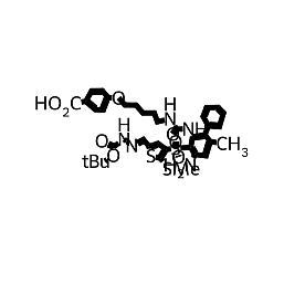 CSc1sc(C=NNC(=O)OC(C)(C)C)cc1S(=O)(=O)c1c(N)cc(C)c(-c2ccccc2)c1NC(=O)NCCCCCOc1ccc(C(=O)O)cc1